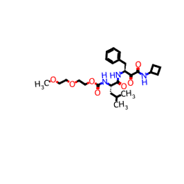 COCCOCCOC(=O)N[C@@H](CC(C)C)C(=O)N[C@@H](Cc1ccccc1)C(=O)C(=O)NC1CCC1